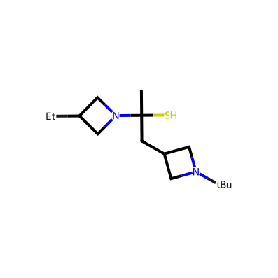 CCC1CN(C(C)(S)CC2CN(C(C)(C)C)C2)C1